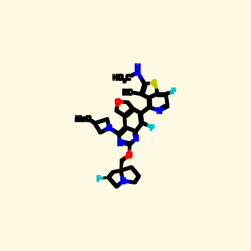 COC1CN(c2nc(OC[C@@]34CCCN3C[C@H](F)C4)nc3c(F)c(-c4ncc(F)c5sc(NC(=O)O)c(C#N)c45)c4c(c23)COC4)C1